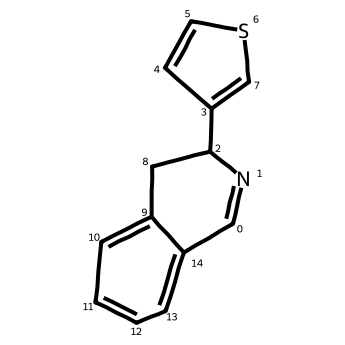 C1=NC(c2ccsc2)Cc2ccccc21